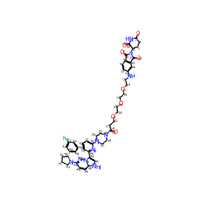 O=C1CCC(N2C(=O)c3ccc(NCCOCCOCCOCCC(=O)N4CCN(c5cccc(C6=CNC7C=CC(N8CCC[C@@H]8c8cccc(F)c8)=NN67)n5)CC4)cc3C2=O)C(=O)N1